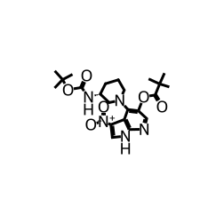 CC(C)(C)OC(=O)N[C@@H]1CCCN(c2c(OC(=O)C(C)(C)C)cnc3[nH]cc([N+](=O)[O-])c23)C1